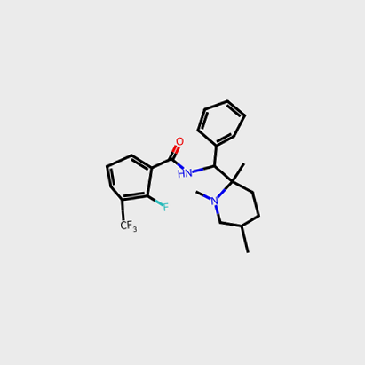 CC1CCC(C)(C(NC(=O)c2cccc(C(F)(F)F)c2F)c2ccccc2)N(C)C1